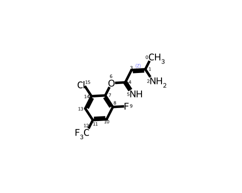 C/C(N)=C/C(=N)Oc1c(F)cc(C(F)(F)F)cc1Cl